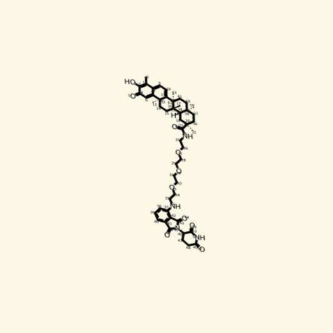 CC1=C(O)C(=O)C=C2C1=CC=C1[C@@]2(C)CC[C@@]2(C)[C@@H]3C[C@](C)(C(=O)NCCOCCOCCOCCNc4cccc5c4C(=O)N(C4CCC(=O)NC4=O)C5=O)CC[C@]3(C)CC[C@]12C